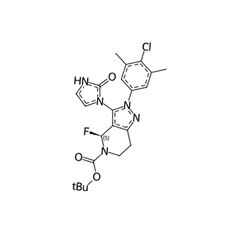 Cc1cc(-n2nc3c(c2-n2cc[nH]c2=O)[C@H](F)N(C(=O)OC(C)(C)C)CC3)cc(C)c1Cl